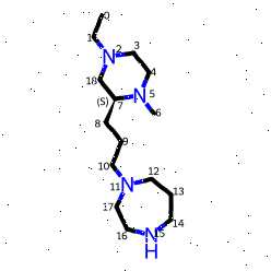 CCN1CCN(C)[C@@H](CCCN2CCCNCC2)C1